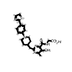 Cc1nc(CC2CCN(c3ccc(-c4nccs4)cc3)CC2)nc(C(=O)NCC(=O)O)c1O